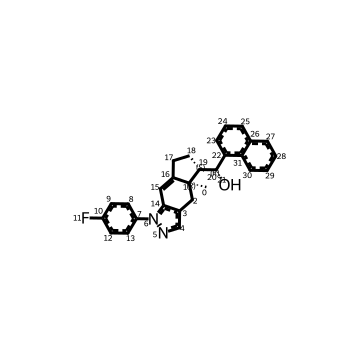 C[C@]12Cc3cnn(-c4ccc(F)cc4)c3C=C1CC[C@@H]2[C@@H](O)c1cccc2ccccc12